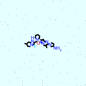 Cc1cn2nc([C@@H]3CCCCN3C(=O)C3NC4CC(C)CCN4C3F)cc2nc1N1CC[C@H](N)C1